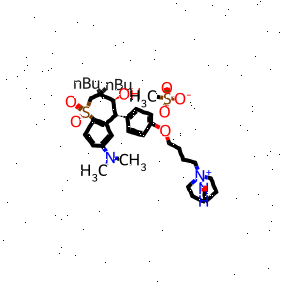 CCCCC1(CCCC)CS(=O)(=O)c2ccc(N(C)C)cc2[C@@H](c2ccc(OCCCC[N+]34CCC(CC3)CN4)cc2)[C@H]1O.CS(=O)(=O)[O-]